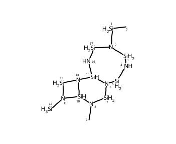 C[SiH2]N1[SiH2]N[SiH2]N2[SiH2]N(C)[SiH]3N([SiH3])[SiH2]N3[SiH]2N[SiH2]1